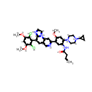 C=CCC(=O)Nc1cc(-c2cc3c(cn2)cc(-c2c(Cl)c(OC)cc(OC)c2Cl)c2nccn23)c(OC)cc1N1CCN(C2CC2)CC1